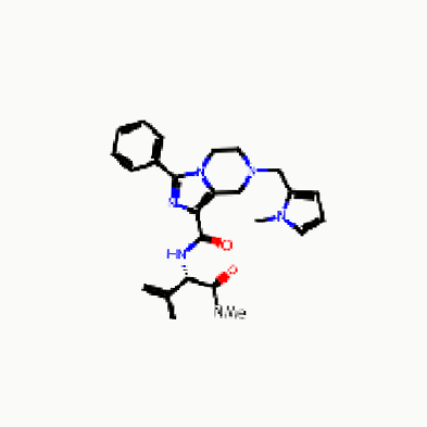 C=C(C)[C@H](NC(=O)c1nc(-c2ccccc2)n2c1CN(Cc1cccn1C)CC2)C(=O)NC